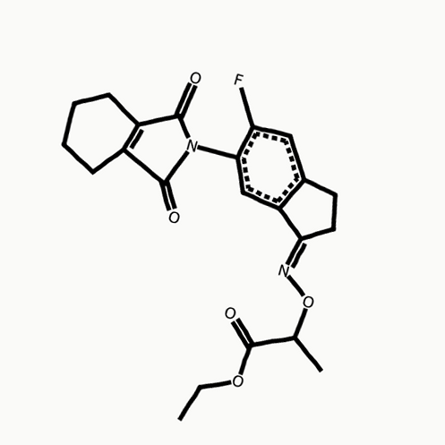 CCOC(=O)C(C)O/N=C1\CCc2cc(F)c(N3C(=O)C4=C(CCCC4)C3=O)cc21